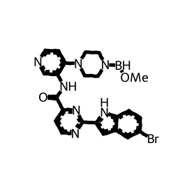 COBN1CCN(c2ccncc2NC(=O)c2ccnc(-c3cc4cc(Br)ccc4[nH]3)n2)CC1